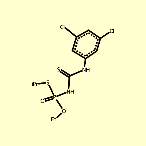 CCOP(=O)(NC(=S)Nc1cc(Cl)cc(Cl)c1)SC(C)C